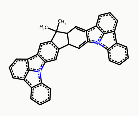 CC1(C)c2cc3c4cccc5c6ccccc6n(c3cc2C2C=c3c(c6cccc7c8ccccc8n3c67)=CC21)c54